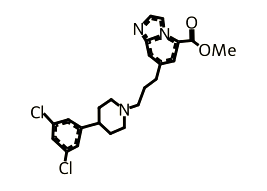 COC(=O)c1cc(CCCN2CCC(c3cc(Cl)cc(Cl)c3)CC2)cc2nccn12